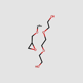 CCCCOCC1CO1.OCCOCCOCCO